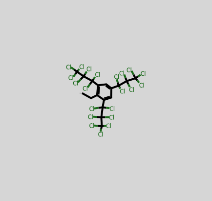 [CH2]Cc1c(C(Cl)(Cl)C(Cl)(Cl)C(Cl)(Cl)Cl)cc(C(Cl)(Cl)C(Cl)(Cl)C(Cl)(Cl)Cl)cc1C(Cl)(Cl)C(Cl)(Cl)C(Cl)(Cl)Cl